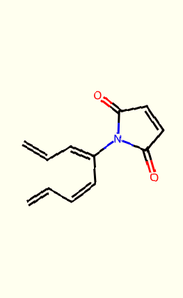 C=C/C=C\C(=C/C=C)N1C(=O)C=CC1=O